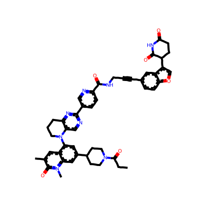 CCC(=O)N1CCC(c2cc(N3CCCc4nc(-c5ccc(C(=O)NCC#Cc6ccc7occ(C8CCC(=O)NC8=O)c7c6)nc5)ncc43)c3cc(C)c(=O)n(C)c3c2)CC1